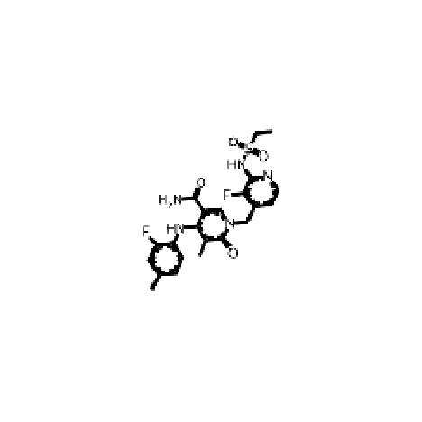 CCS(=O)(=O)Nc1nccc(Cn2cc(C(N)=O)c(Nc3ccc(C)cc3F)c(C)c2=O)c1F